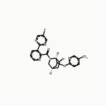 O=C(c1ncccc1-c1ncc(F)cn1)N1C[C@@H]2CC[C@H]1[C@H](Oc1ccc(C(F)(F)F)cn1)C2